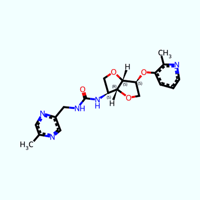 Cc1cnc(CNC(=O)N[C@H]2CO[C@H]3[C@@H]2OC[C@@H]3Oc2cccnc2C)cn1